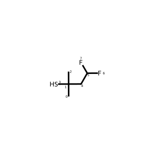 CC(C)(S)CC(F)F